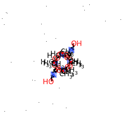 CC(C)C[C@H]1C(=O)O[C@H](Cc2cccc(Cn3cc(CCO)cn3)c2)C(=O)N(C)[C@@H](CC(C)C)C(=O)O[C@H](C)C(=O)N(C)[C@@H](CC(C)C)C(=O)O[C@H](Cc2cccc(Cn3cc(CCO)cn3)c2)C(=O)N(C)[C@@H](CC(C)C)C(=O)O[C@H](C)C(=O)N1C